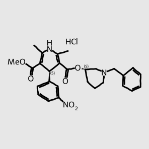 COC(=O)C1=C(C)NC(C)=C(C(=O)O[C@H]2CCCN(Cc3ccccc3)C2)[C@H]1c1cccc([N+](=O)[O-])c1.Cl